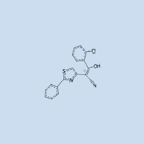 N#C/C(=C(\O)c1ccccc1Cl)c1csc(-c2ccccc2)n1